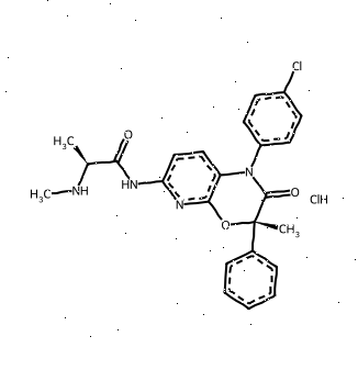 CN[C@@H](C)C(=O)Nc1ccc2c(n1)O[C@@](C)(c1ccccc1)C(=O)N2c1ccc(Cl)cc1.Cl